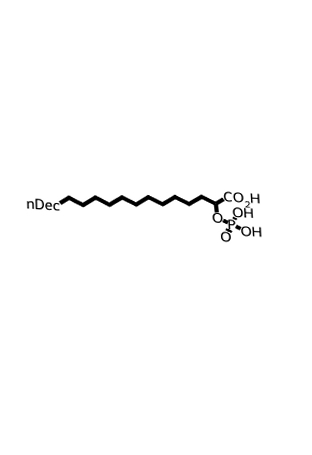 CCCCCCCCCCCCCCCCCCCCCC(OP(=O)(O)O)C(=O)O